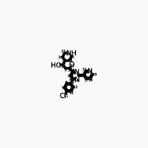 OC1CC(c2cc(-c3ccc(Cl)cc3)nc(-c3cccnc3)n2)OC2CNCCC12